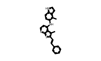 Cc1c(Nc2ccnc3sc(C=Cc4ccccc4)c(C)c23)ccc2[nH]ccc12